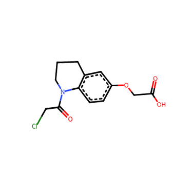 O=C(O)COc1ccc2c(c1)CCCN2C(=O)CCl